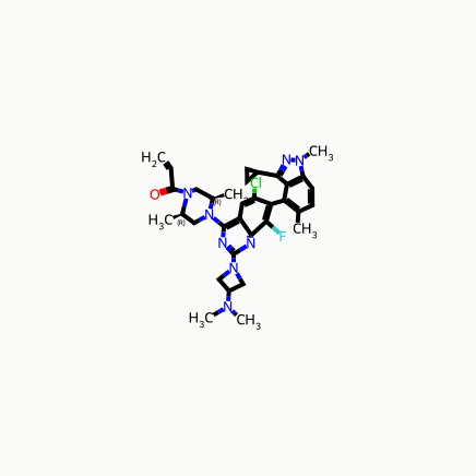 C=CC(=O)N1C[C@@H](C)N(c2nc(N3CC(N(C)C)C3)nc3c(F)c(-c4c(C)ccc5c4c(C4CC4)nn5C)c(Cl)cc23)C[C@H]1C